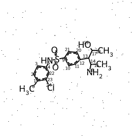 Cc1ccc(NS(=O)(=O)c2ccc(C(C(C)N)C(C)O)cc2)cc1Cl